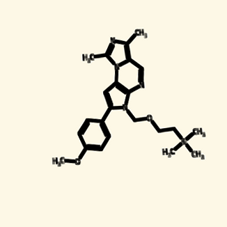 COc1ccc(-c2cc3c(ncc4c(C)nc(C)n43)n2COCC[Si](C)(C)C)cc1